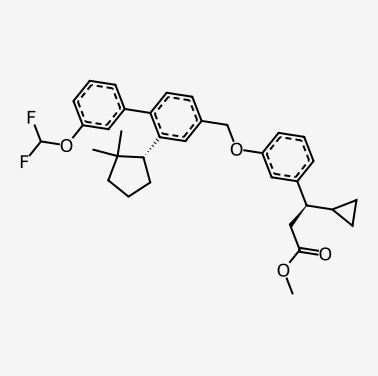 COC(=O)C[C@@H](c1cccc(OCc2ccc(-c3cccc(OC(F)F)c3)c([C@@H]3CCCC3(C)C)c2)c1)C1CC1